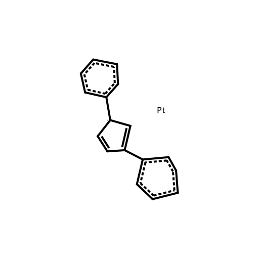 C1=CC(c2ccccc2)=C[C]1c1ccccc1.[Pt]